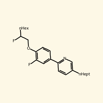 CCCCCCCc1ccc(-c2ccc(OCC(F)CCCCCC)c(F)c2)nc1